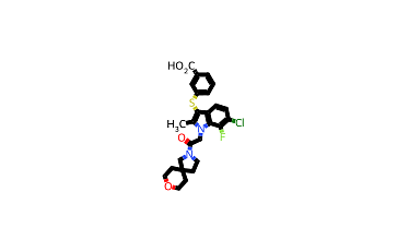 Cc1c(Sc2cccc(C(=O)O)c2)c2ccc(Cl)c(F)c2n1CC(=O)N1CCC2(CCOCC2)C1